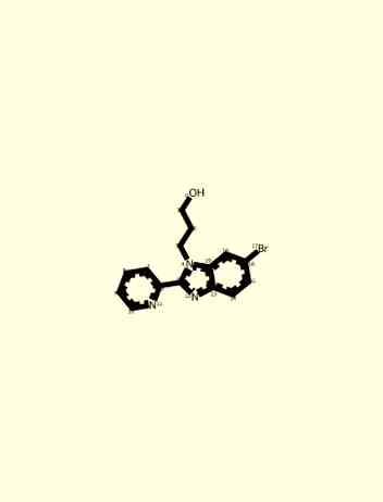 OCCCn1c(-c2ccccn2)nc2ccc(Br)cc21